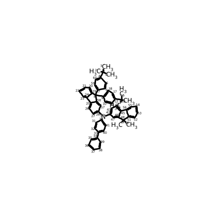 CC(C)(C)c1ccc(C2(c3ccc(C(C)(C)C)cc3)c3ccccc3-c3ccc(N(c4ccc(-c5ccccc5)cc4)c4ccc5c(c4)C(C)(C)c4ccccc4-5)cc32)cc1